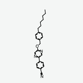 CCCCCCCc1ccc(COc2cnc(-c3ccc(C#N)cc3)cn2)cc1